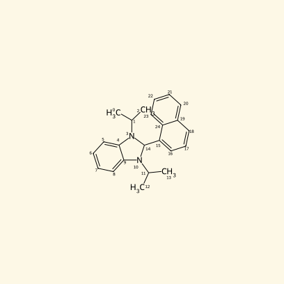 CC(C)N1c2ccccc2N(C(C)C)C1c1cccc2ccccc12